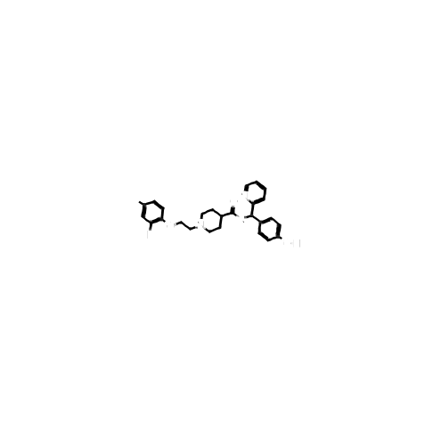 O=C(NC(c1ccc(O)cc1)c1ccccn1)C1CCN(CCOc2ccc(F)cc2F)CC1